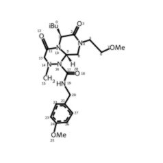 CCC(C)[C@H]1C(=O)N(CCOC)C[C@H]2N1C(=O)CN(C)N2C(=O)NCc1ccc(OC)cc1